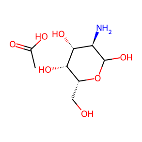 CC(=O)O.N[C@H]1C(O)O[C@H](CO)[C@H](O)[C@@H]1O